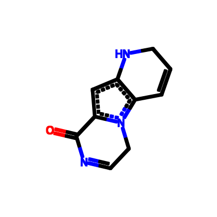 O=C1N=CCn2c1cc1c2C=CCN1